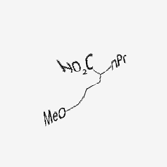 CCCC(CCCOC)C(=O)O